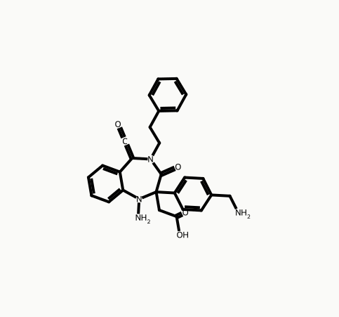 NCc1ccc(C2(CC(=O)O)C(=O)N(CCc3ccccc3)C(=C=O)c3ccccc3N2N)cc1